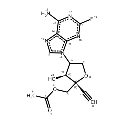 C#C[C@]1(COC(C)=O)OCC(n2cnc3c(N)nc(F)nc32)[C@@H]1O